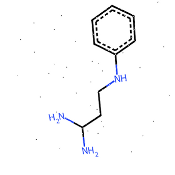 NC(N)CCNc1ccccc1